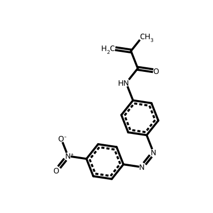 C=C(C)C(=O)Nc1ccc(/N=N\c2ccc([N+](=O)[O-])cc2)cc1